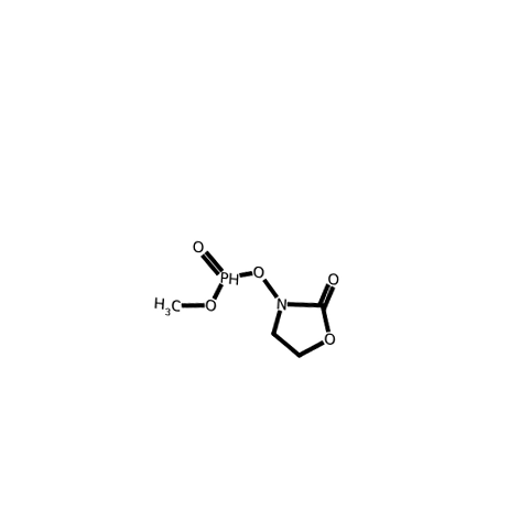 CO[PH](=O)ON1CCOC1=O